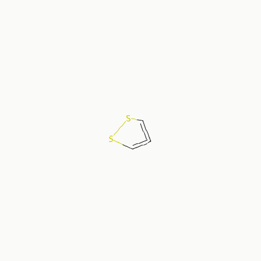 C1=CSSC=1